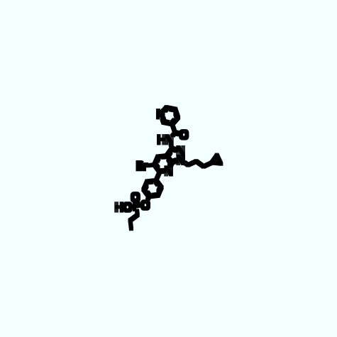 CCCP(=O)(O)Oc1ccc(-c2nc3c(cc2Br)c(NC(=O)c2cccnc2)nn3CCCC2CC2)cc1